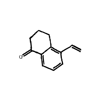 C=Cc1cccc2c1CCCC2=O